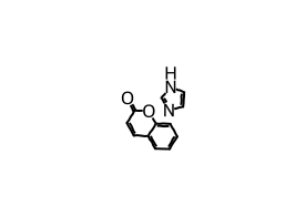 O=c1ccc2ccccc2o1.c1c[nH]cn1